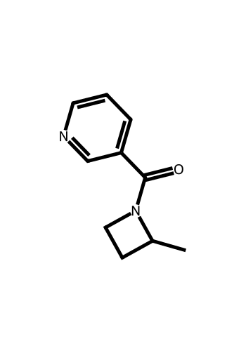 CC1CCN1C(=O)c1cccnc1